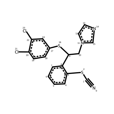 N#CSc1ccccc1C(Cn1ccnc1)Sc1ccc(Cl)c(Cl)c1